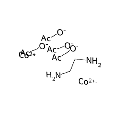 CC(=O)[O-].CC(=O)[O-].CC(=O)[O-].CC(=O)[O-].NCCN.[Co+2].[Co+2]